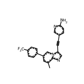 Cc1cc(-c2ccc(C(F)(F)F)cc2)cn2c(C#Cc3ccc(N)nc3)cnc12